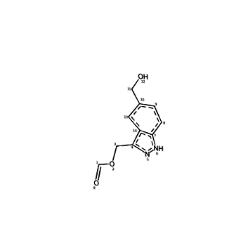 O=COCc1n[nH]c2ccc(CO)cc12